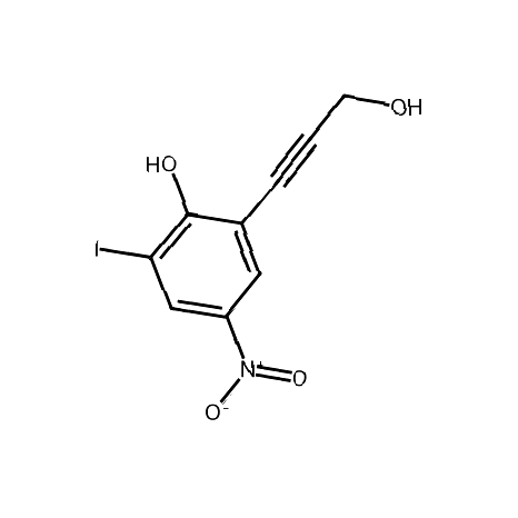 O=[N+]([O-])c1cc(I)c(O)c(C#CCO)c1